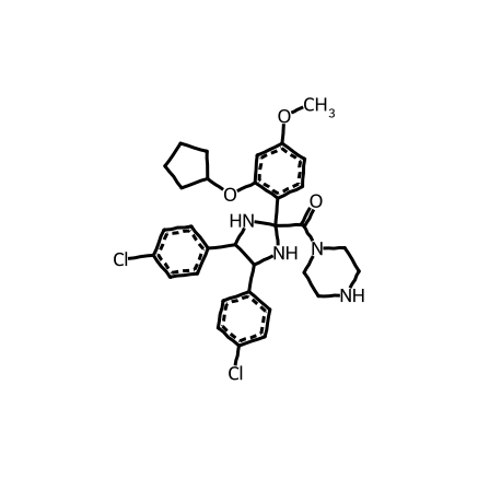 COc1ccc(C2(C(=O)N3CCNCC3)NC(c3ccc(Cl)cc3)C(c3ccc(Cl)cc3)N2)c(OC2CCCC2)c1